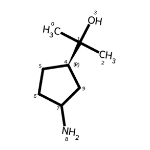 CC(C)(O)[C@@H]1CCC(N)C1